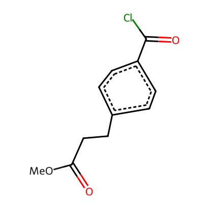 COC(=O)CCc1ccc(C(=O)Cl)cc1